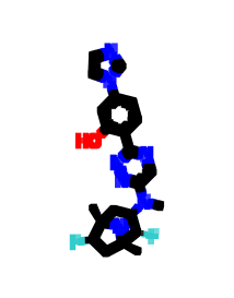 CN(c1cnc(-c2ccc(-n3ccnc3)cc2O)nn1)[C@@H]1C[C@]2(C)N[C@@](C)(C[C@H]2F)[C@H]1F